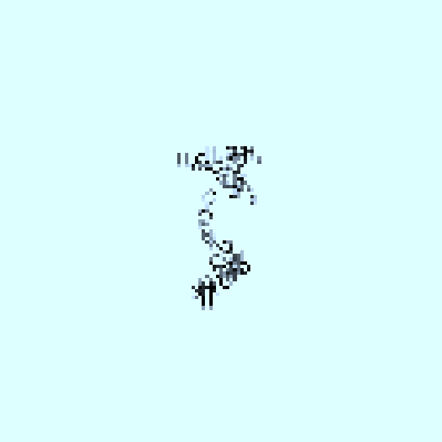 COc1ccc([C@]2(CCN(Cc3ccc(C4=CC[C@H](CN5CCN(C(=O)c6ccc7c8c6O[C@@H]6COC[C@@H]6n8c(=O)n7C6CCC(=O)NC6=O)CC5)CC4)cc3)CC(C)(C)C(F)(F)F)CCOC(C)(C)C2)cc1